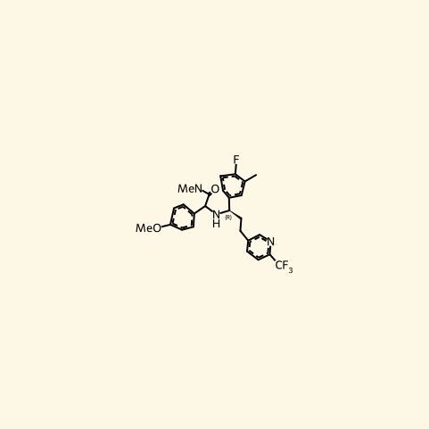 CNC(=O)C(N[C@H](CCc1ccc(C(F)(F)F)nc1)c1ccc(F)c(C)c1)c1ccc(OC)cc1